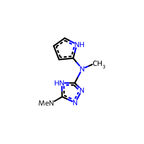 CNc1nnc(N(C)c2ccc[nH]2)[nH]1